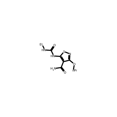 CCCOc1nsc(NC(=O)NCC)c1C(N)=O